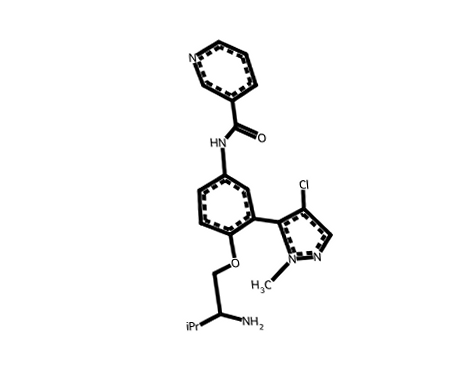 CC(C)C(N)COc1ccc(NC(=O)c2cccnc2)cc1-c1c(Cl)cnn1C